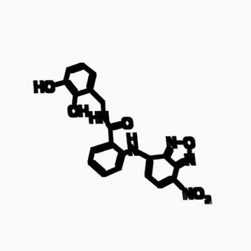 O=C(NCc1cccc(O)c1O)c1ccccc1Nc1ccc([N+](=O)[O-])c2nonc12